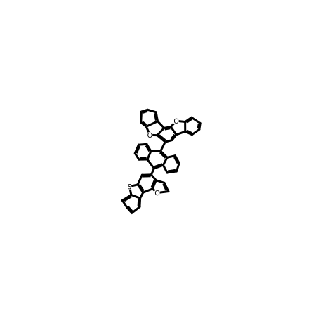 c1ccc2c(c1)oc1c2cc(-c2c3ccccc3c(-c3cc4sc5ccccc5c4c4occc34)c3ccccc23)c2oc3ccccc3c21